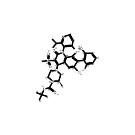 Cc1ccnc(C(C)C)c1-n1c(=O)c(S(C)(=O)=O)c(N2CCN(C(=O)OC(C)(C)C)[C@H](C)C2)c2cc(Cl)c(-c3c(O)cccc3F)c(F)c21